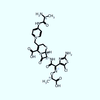 C[C@H](N)C(=O)Nc1cc[n+](CC2=C(C(=O)O)N3C(=O)[C@@H](NC(=O)/C(=N\O[C@@H](C)C(=O)O)c4nc(N)sc4Cl)[C@H]3SC2)cc1